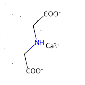 O=C([O-])CNCC(=O)[O-].[Ca+2]